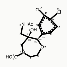 CC(=O)NC[C@@]1(O)CN(C(=O)O)CCO[C@@H]1c1ccc(Cl)c(Cl)c1